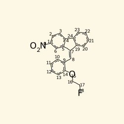 O=[N+]([O-])c1ccc2c(c1)C(=Cc1ccccc1OCCF)c1ccccc1-2